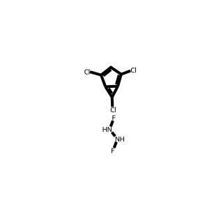 Clc1cc(Cl)c2c(Cl)c1-2.FNNF